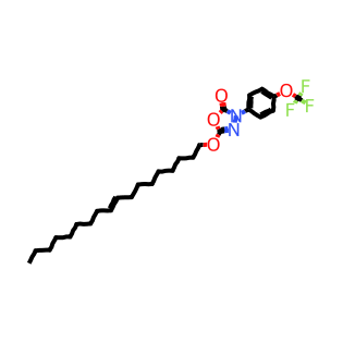 CCCCCCCCC=CCCCCCCCCOc1nn(-c2ccc(OC(F)(F)F)cc2)c(=O)o1